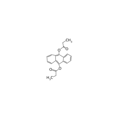 CCC(=O)Oc1c2ccccc2c(OC(=O)CC)c2ccccc12